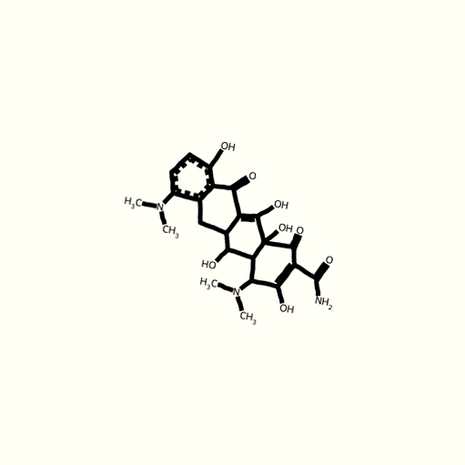 CN(C)c1ccc(O)c2c1CC1C(=C(O)C3(O)C(=O)C(C(N)=O)=C(O)C(N(C)C)C3C1O)C2=O